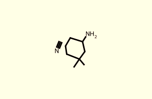 C#N.CC1(C)CCCC(N)C1